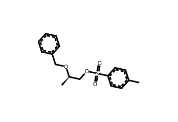 Cc1ccc(S(=O)(=O)OC[C@@H](C)OCc2ccccc2)cc1